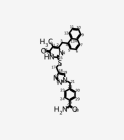 Cc1c(Cc2cccc3ccccc23)nc(SCc2cn(Cc3ccc(C(N)=O)cc3)nn2)[nH]c1=O